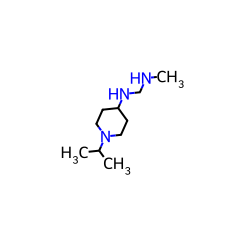 CNCNC1CCN(C(C)C)CC1